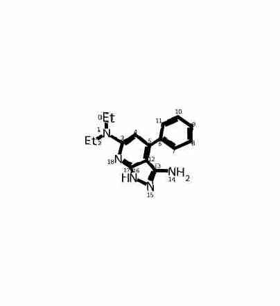 CCN(CC)c1cc(-c2ccccc2)c2c(N)n[nH]c2n1